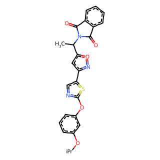 CC(C)Oc1cccc(Oc2ncc(-c3cc(C(C)N4C(=O)c5ccccc5C4=O)on3)s2)c1